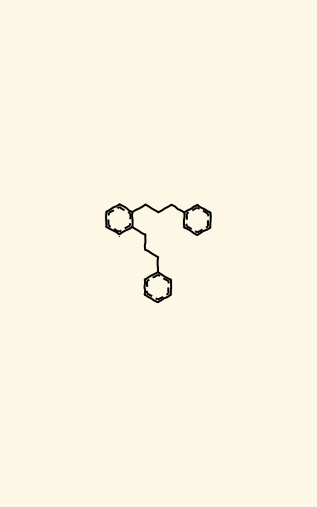 [c]1cccc(CCCc2ccccc2)c1CCCc1ccccc1